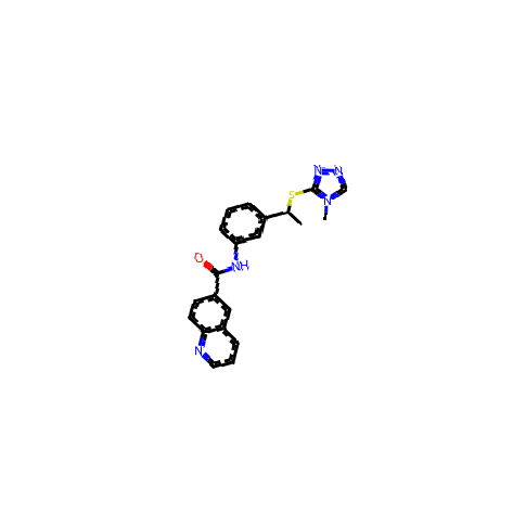 CC(Sc1nncn1C)c1cccc(NC(=O)c2ccc3ncccc3c2)c1